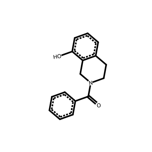 O=C(c1ccccc1)N1CCc2cccc(O)c2C1